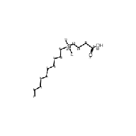 CCCCCCCCCC[Si](C)(C)CCCC(=O)O